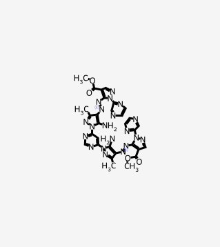 COC(=O)c1cnn(-c2cnccn2)c1/N=N/c1c(C)nn(-c2cc(-n3nc(C)c(/N=N/c4c(C(=O)OC)cnn4-c4cnccn4)c3N)ncn2)c1N